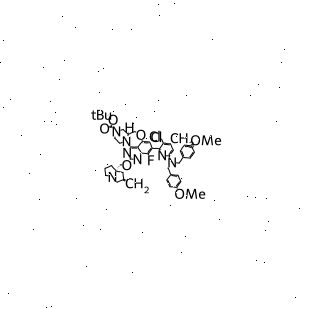 C=C1CN2CCC[C@@]2(COc2nc3c4c(c(Cl)c(-c5nc(N(Cc6ccc(OC)cc6)Cc6ccc(OC)cc6)cc(C)c5Cl)c(F)c4n2)OC[C@@H]2CN(C(=O)OC(C)(C)C)CCN32)C1